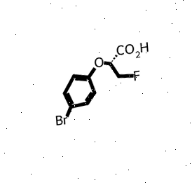 O=C(O)[C@H](CF)Oc1ccc(Br)cc1